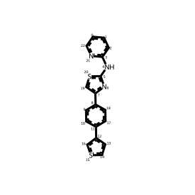 c1ccc(Nc2nc(-c3ccc(-c4ccsc4)cc3)cs2)nc1